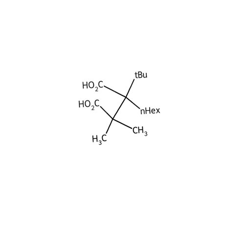 CCCCCCC(C(=O)O)(C(C)(C)C)C(C)(C)C(=O)O